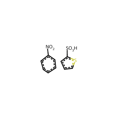 O=S(=O)(O)c1cccs1.O=[N+]([O-])c1ccccc1